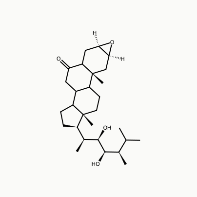 CC(C)[C@@H](C)[C@@H](O)[C@H](O)[C@@H](C)[C@H]1CCC2C3CC(=O)C4C[C@H]5O[C@H]5C[C@]4(C)C3CC[C@@]21C